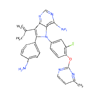 C=C(C)c1c(-c2ccc(N)cc2)n(-c2ccc(Oc3nccc(C)n3)c(F)c2)c2c(N)ncnc12